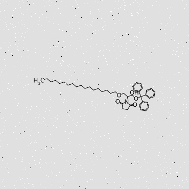 CCCCCCCCCCCCCCCCCCOCC(C(O)OC(c1ccccc1)(c1ccccc1)c1ccccc1)N1C(=O)CCC1=O